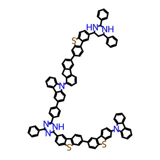 c1ccc(C2=NC(c3ccc4sc5cc(-c6ccc7sc8cc(-n9c%10ccccc%10c%10ccccc%109)ccc8c7c6)ccc5c4c3)NC(c3ccc(-c4ccc5c(c4)c4ccccc4n5-c4cccc5c4Cc4ccc(-c6ccc7c(c6)sc6ccc(C8CC(c9ccccc9)NC(c9ccccc9)N8)cc67)cc4-5)cc3)=N2)cc1